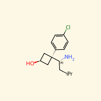 CC(C)C[C@@H](N)[C@]1(c2ccc(Cl)cc2)C[C@H](O)C1